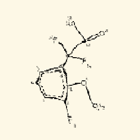 COc1c(F)cccc1C(F)(F)C(=O)O